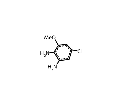 COc1cc(Cl)cc(N)c1N